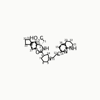 O=C(O)C[C@H](NC(=O)[C@@H]1CCCN(CCCc2ccc3c(n2)NCCC3)C1)c1ccc2c(c1)CCC2